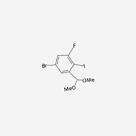 COC(OC)c1cc(Br)cc(F)c1I